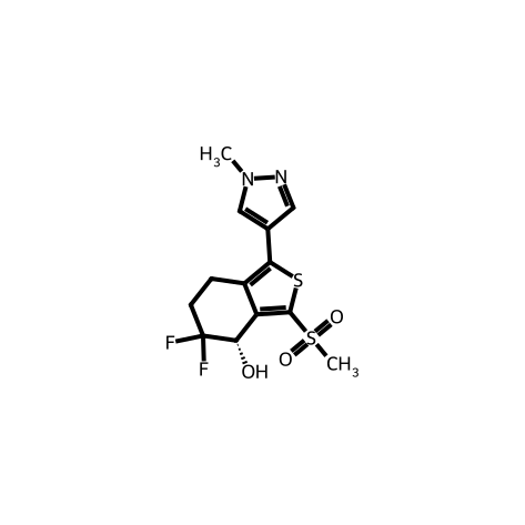 Cn1cc(-c2sc(S(C)(=O)=O)c3c2CCC(F)(F)[C@H]3O)cn1